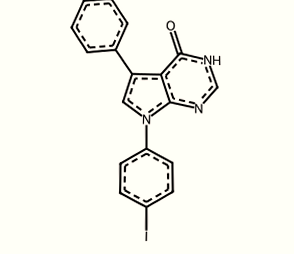 O=c1[nH]cnc2c1c(-c1ccccc1)cn2-c1ccc(I)cc1